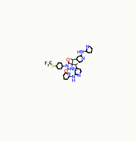 CC(c1ccnc(Nc2ccccn2)c1)C1(C(C)c2ccnc(Nc3ccccn3)c2)NC(=O)N(c2ccc(SC(F)(F)F)cc2)C1=O